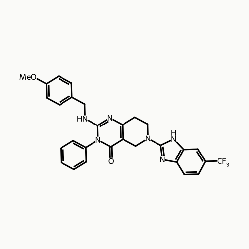 COc1ccc(CNc2nc3c(c(=O)n2-c2ccccc2)CN(c2nc4ccc(C(F)(F)F)cc4[nH]2)CC3)cc1